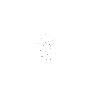 C#C/C=C1\C(=C/C[C@@]2(C(=O)OC)C[C@H]3CN(CCc4c2[nH]c2ccccc42)C[C@](O)(CC)C3)[C@@]23CCN4CC=C[C@@](CC)([C@@H](OC(C)=O)[C@](O)(C(=O)OC)[C@@H]2N1C=O)[C@H]43